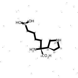 N[C@@](CCCCB(O)O)(C(=O)O)[C@@H]1CCNC1